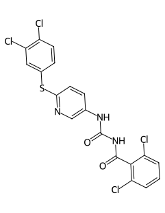 O=C(NC(=O)c1c(Cl)cccc1Cl)Nc1ccc(Sc2ccc(Cl)c(Cl)c2)nc1